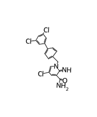 N=c1c(C(N)=O)cc(Cl)cn1Cc1ccc(-c2cc(Cl)cc(Cl)c2)cc1